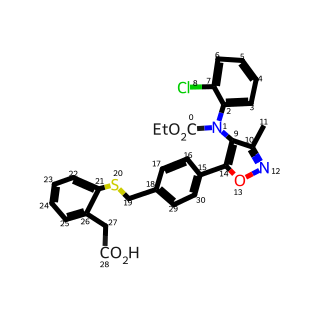 CCOC(=O)N(c1ccccc1Cl)c1c(C)noc1-c1ccc(CSc2ccccc2CC(=O)O)cc1